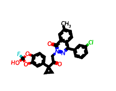 Cc1ccc2c(-c3cccc(Cl)c3)nn(CC(=O)C3(c4ccc5c(c4)OC(O)(F)O5)CC3)c(=O)c2c1